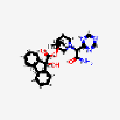 NC(=O)C(c1ncncn1)[N+]12CCC(CC1)[C@@H](OC(=O)C1(O)c3ccccc3-c3ccccc31)C2